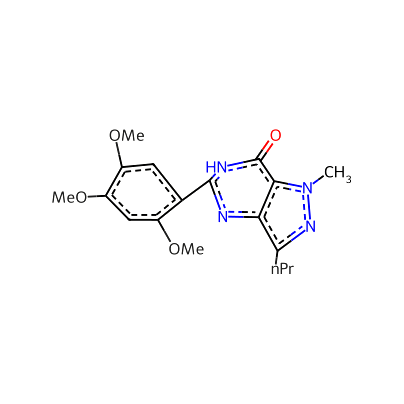 CCCc1nn(C)c2c(=O)[nH]c(-c3cc(OC)c(OC)cc3OC)nc12